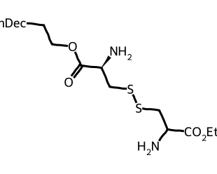 CCCCCCCCCCCCOC(=O)[C@@H](N)CSSCC(N)C(=O)OCC